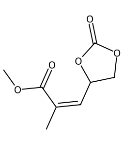 COC(=O)C(C)=CC1COC(=O)O1